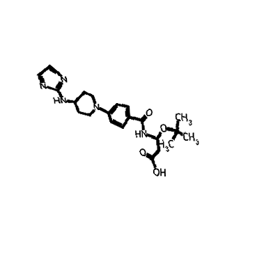 CC(C)(C)OC(CC(=O)O)NC(=O)c1ccc(N2CCC(Nc3ncccn3)CC2)cc1